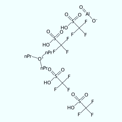 CCC[O+](CCC)CCC.O=S(=O)(O)C(F)(F)F.O=S(=O)(O)C(F)(F)F.O=S(=O)(O)C(F)(F)F.O=S(=O)(O)C(F)(F)F.[O]=[Al][O-]